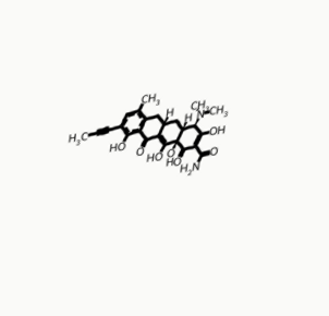 CC#Cc1cc(C)c2c(c1O)C(=O)C1=C(O)[C@@]3(O)C(=O)C(C(N)=O)=C(O)[C@H](N(C)C)[C@H]3C[C@H]1C2